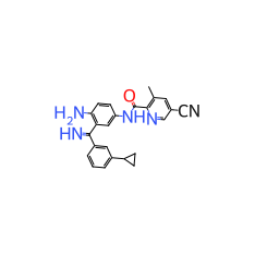 Cc1cc(C#N)cnc1C(=O)Nc1ccc(N)c(C(=N)c2cccc(C3CC3)c2)c1